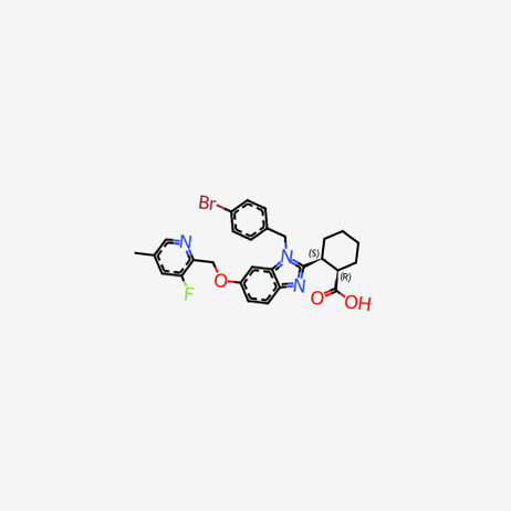 Cc1cnc(COc2ccc3nc([C@H]4CCCC[C@H]4C(=O)O)n(Cc4ccc(Br)cc4)c3c2)c(F)c1